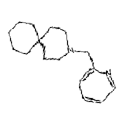 c1ccc(CN2CCC3(CCCCC3)CC2)nc1